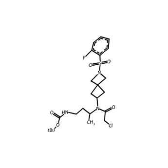 CC(CCNC(=O)OC(C)(C)C)N(C(=O)CCl)C1CC2(C1)CN(S(=O)(=O)c1ccccc1F)C2